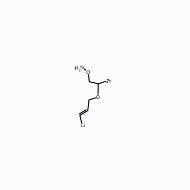 CC(C)C(CON)OC/C=C/Cl